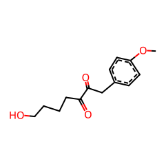 COc1ccc(CC(=O)C(=O)CCCCO)cc1